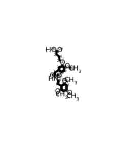 COc1cc(OC)c(/C=C/NS(=O)(=O)Cc2ccc(OC)c(OCCCC(=O)O)c2)c(OC)c1